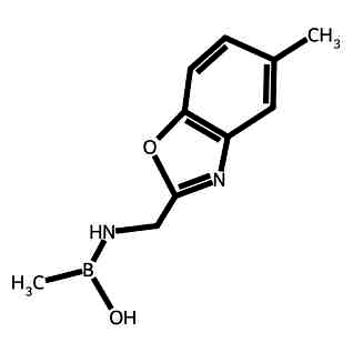 CB(O)NCc1nc2cc(C)ccc2o1